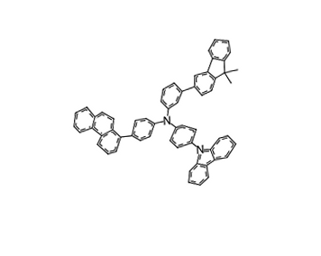 CC1(C)c2ccccc2-c2cc(-c3cccc(N(c4ccc(-c5cccc6c5ccc5ccccc56)cc4)c4ccc(-n5c6ccccc6c6ccccc65)cc4)c3)ccc21